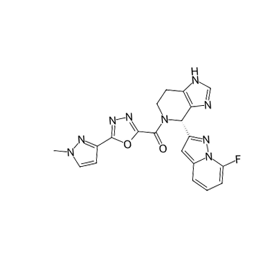 Cn1ccc(-c2nnc(C(=O)N3CCc4[nH]cnc4[C@@H]3c3cc4cccc(F)n4n3)o2)n1